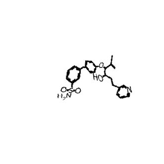 CC(C)C(Oc1ccc(-c2cccc(S(N)(=O)=O)c2)cc1)C(O)CCc1cccnc1